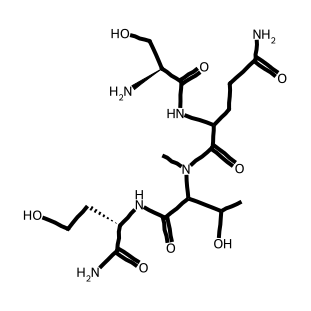 CC(O)C(C(=O)N[C@@H](CCO)C(N)=O)N(C)C(=O)C(CCC(N)=O)NC(=O)[C@@H](N)CO